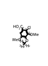 [2H]C([2H])([2H])Oc1c(OC)cc(C(=O)O)c(Cl)c1OC